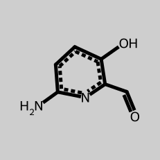 Nc1ccc(O)c(C=O)n1